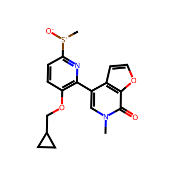 Cn1cc(-c2nc([S+](C)[O-])ccc2OCC2CC2)c2ccoc2c1=O